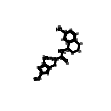 CCCCCCn1nc(C(C)(C)C)cc1CNC(=O)NC1CCCc2ccc(O)cc21